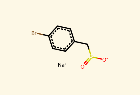 O=S([O-])Cc1ccc(Br)cc1.[Na+]